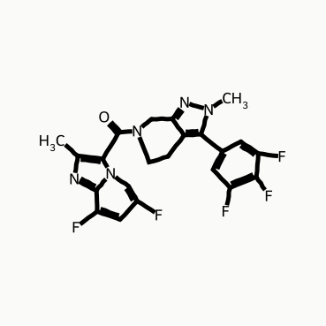 Cc1nc2c(F)cc(F)cn2c1C(=O)N1CCc2c(nn(C)c2-c2cc(F)c(F)c(F)c2)C1